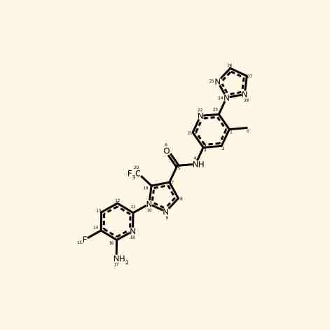 Cc1cc(NC(=O)c2cnn(-c3ccc(F)c(N)n3)c2C(F)(F)F)cnc1-n1nccn1